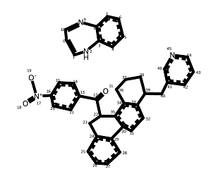 C1=CNc2ccccc2N=C1.O=C(c1ccc([N+](=O)[O-])cc1)C1Cc2ccccc2-c2ccc3c(c21)CCCC3Cc1cccnc1